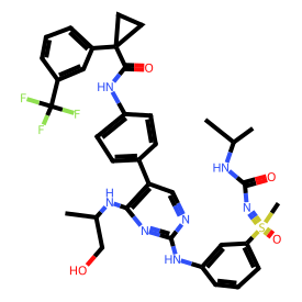 CC(C)NC(=O)N=S(C)(=O)c1cccc(Nc2ncc(-c3ccc(NC(=O)C4(c5cccc(C(F)(F)F)c5)CC4)cc3)c(NC(C)CO)n2)c1